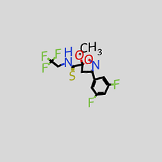 COC1(C(=S)NCC(F)(F)F)CC(c2cc(F)cc(F)c2)=NO1